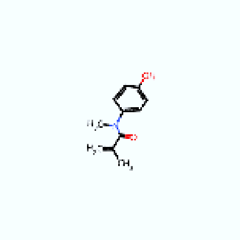 C=C(C)C(=O)N(C)c1ccc(O)cc1